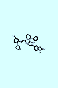 O=C1Cc2cc(-c3cnc([C@@H]4[C@H](c5ccccc5)CCCN4C(=O)/C=C/c4cc(Cl)ccc4-n4cnnn4)[nH]3)ccc2N1